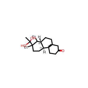 CCC1[C@@H]2CCC3=C(CCC(=O)C3)[C@H]2CCC1(CC)C(C)(O)O